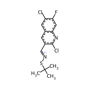 CC(C)(C)S/N=C/c1cc2cc(Cl)c(F)cc2nc1Cl